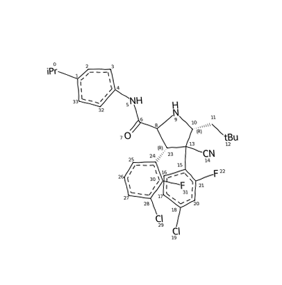 CC(C)c1ccc(NC(=O)C2N[C@H](CC(C)(C)C)C(C#N)(c3ccc(Cl)cc3F)[C@@H]2c2cccc(Cl)c2F)cc1